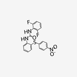 O=C(Nc1ccccc1Sc1ccc([N+](=O)[O-])cc1)Nc1c(F)cccc1F